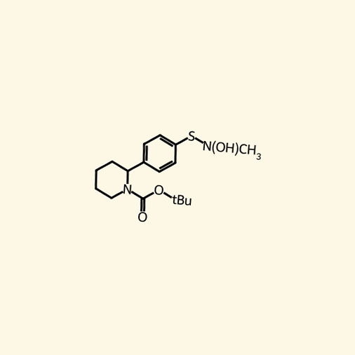 CN(O)Sc1ccc(C2CCCCN2C(=O)OC(C)(C)C)cc1